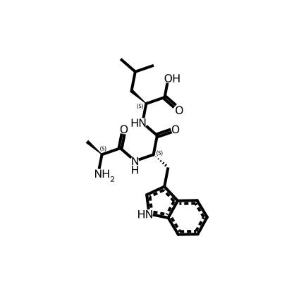 CC(C)C[C@H](NC(=O)[C@H](Cc1c[nH]c2ccccc12)NC(=O)[C@H](C)N)C(=O)O